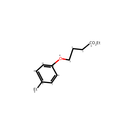 CCOC(=O)CCCOc1ccc(CC)cc1